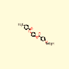 CCCCCCCOc1ccc(C(=O)Oc2ccc(OC(=O)c3ccc(C)cc3)cc2)cc1